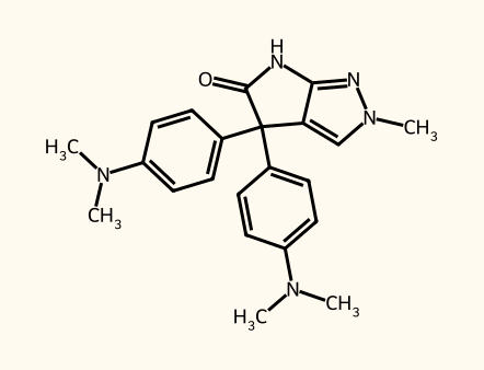 CN(C)c1ccc(C2(c3ccc(N(C)C)cc3)C(=O)Nc3nn(C)cc32)cc1